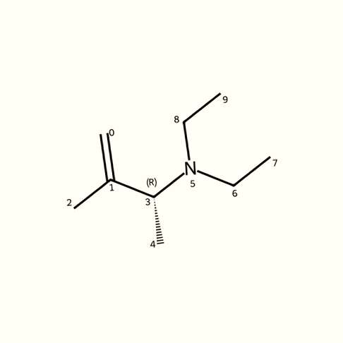 C=C(C)[C@@H](C)N(CC)CC